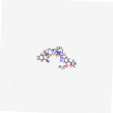 COc1cc(NC(=O)C(=O)NC(C)(C)CN2CCN(S(=O)(=O)c3ccccc3C#N)CC2)ccc1-c1cnco1